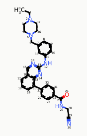 CCN1CCN(Cc2cccc(Nc3ncc4cccc(-c5ccc(C(=O)NCC#N)cc5)c4n3)c2)CC1